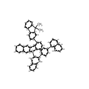 CC1(C)c2ccccc2-c2ccc(-c3cccc4c3c3cc5ccccc5cc3n4-c3nc4ccccc4nc3-c3ccc(-c4cccc5cccnc45)cc3)cc21